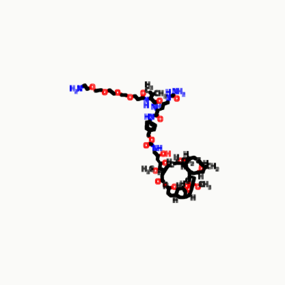 C=C1C[C@@H]2CC3[C@@H]4C[C@H](CC[C@@H]1O2)O[C@H](C[C@@H]1O[C@H](C[C@H](O)CNC(=O)OCc2ccc(NC(=O)[C@H](CCCNC(N)=O)NC(=O)C(NC(=O)CCOCCOCCOCCOCCN)C(C)C)cc2)[C@H](OC)[C@H]1CC(=O)C[C@H]1CC[C@@H]2CC5C[C@@H](OC[C@]36C[C@@H](OC)[C@@H]5O6)[C@H]2O1)C4=C